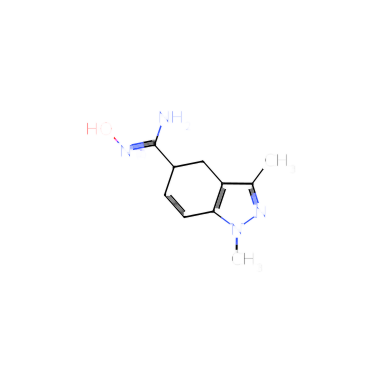 Cc1nn(C)c2c1CC(/C(N)=N/O)C=C2